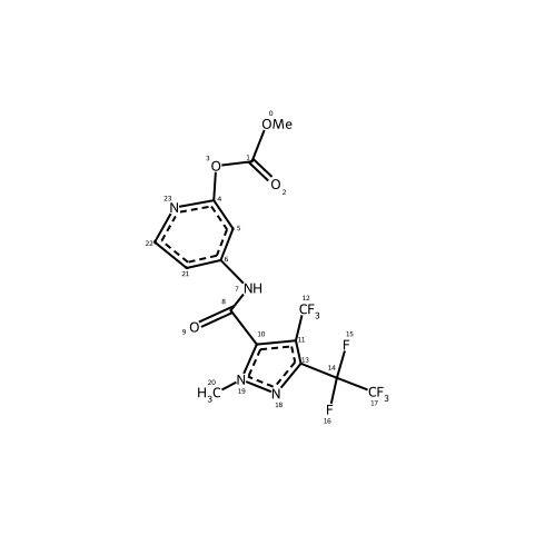 COC(=O)Oc1cc(NC(=O)c2c(C(F)(F)F)c(C(F)(F)C(F)(F)F)nn2C)ccn1